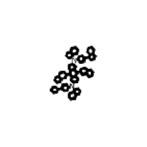 C1=Cc2cccc(-c3ccc(N(c4ccc5c(C6=Cc7ccccc7CC6)c6cc(N(c7ccc(-c8ccccc8)cc7)c7cccc8ccccc78)ccc6c(-c6ccc7ccccc7c6)c5c4)c4cccc5ccccc45)cc3)c2CC1